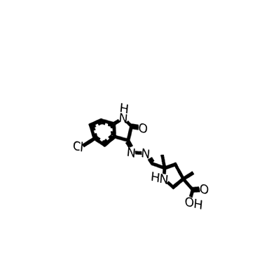 CC1(/C=N/N=C2\C(=O)Nc3ccc(Cl)cc32)CC(C)(C(=O)O)CN1